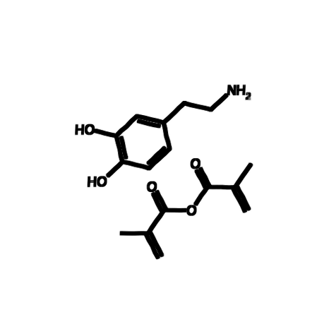 C=C(C)C(=O)OC(=O)C(=C)C.NCCc1ccc(O)c(O)c1